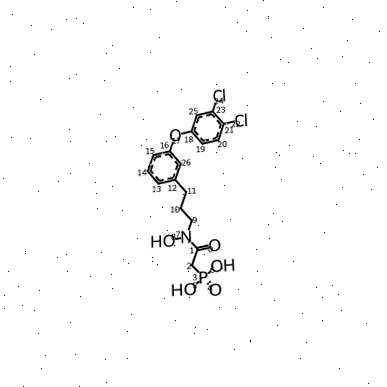 O=C(CP(=O)(O)O)N(O)CCCc1cccc(Oc2ccc(Cl)c(Cl)c2)c1